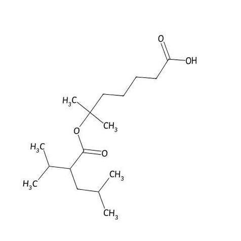 CC(C)CC(C(=O)OC(C)(C)CCCCC(=O)O)C(C)C